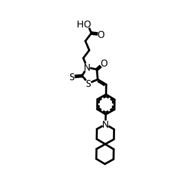 O=C(O)CCCN1C(=O)/C(=C/c2ccc(N3CCC4(CCCCC4)CC3)cc2)SC1=S